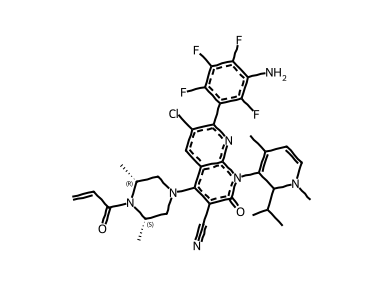 C=CC(=O)N1[C@H](C)CN(c2c(C#N)c(=O)n(C3=C(C)C=CN(C)C3C(C)C)c3nc(-c4c(F)c(N)c(F)c(F)c4F)c(Cl)cc23)C[C@@H]1C